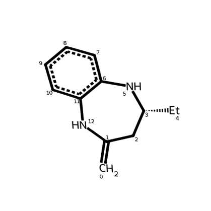 C=C1C[C@@H](CC)Nc2ccccc2N1